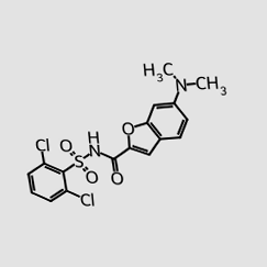 CN(C)c1ccc2cc(C(=O)NS(=O)(=O)c3c(Cl)cccc3Cl)oc2c1